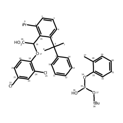 CC(C)c1cccc(C(C)(C)c2ccccc2)c1C(Oc1ccc(Cl)cc1Cl)C(=O)O.Cc1ccccc1OP(O)OC(C)(C)C